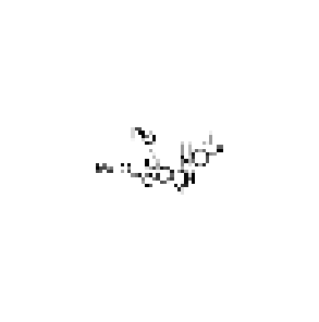 COCCOc1cc2ncnc(Nc3ccc(F)c(Cl)c3)c2cc1OCCOC(C)C